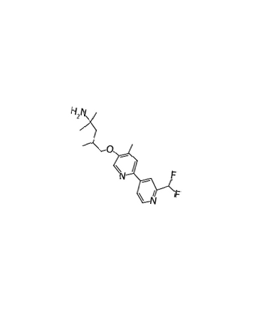 Cc1cc(-c2ccnc(C(F)F)c2)ncc1OCC(C)CC(C)(C)N